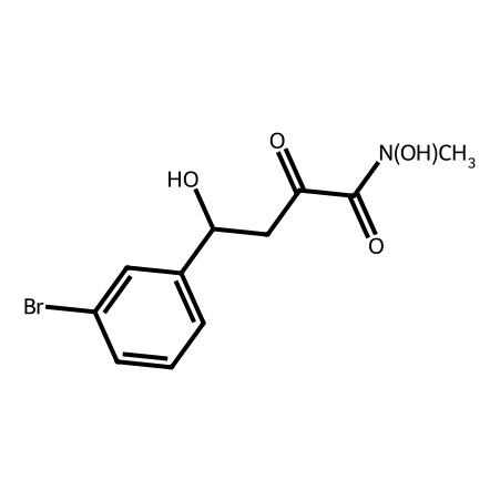 CN(O)C(=O)C(=O)CC(O)c1cccc(Br)c1